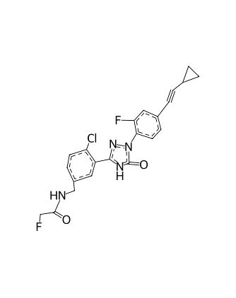 O=C(CF)NCc1ccc(Cl)c(-c2nn(-c3ccc(C#CC4CC4)cc3F)c(=O)[nH]2)c1